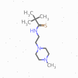 CN1CCN(CCNC(=S)C(C)(C)C)CC1